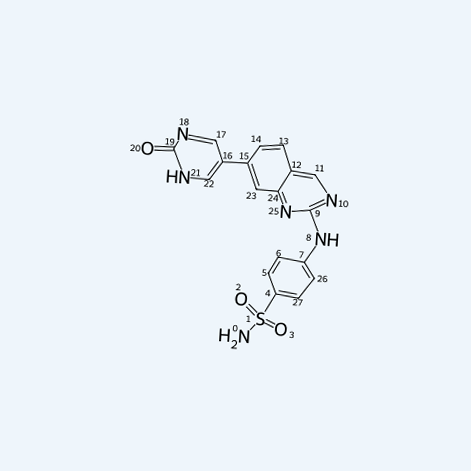 NS(=O)(=O)c1ccc(Nc2ncc3ccc(-c4cnc(=O)[nH]c4)cc3n2)cc1